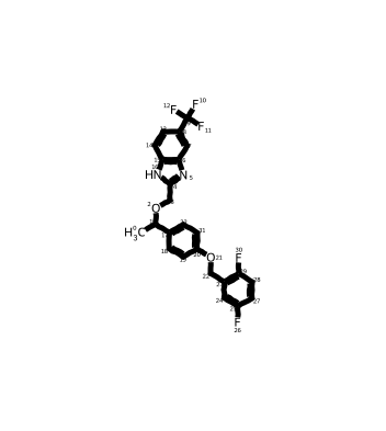 CC(OCc1nc2cc(C(F)(F)F)ccc2[nH]1)c1ccc(OCc2cc(F)ccc2F)cc1